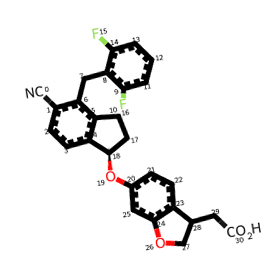 N#Cc1ccc2c(c1Cc1c(F)cccc1F)CC[C@H]2Oc1ccc2c(c1)OCC2CC(=O)O